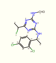 CC(F)c1nc(NC=O)nc(NC(C)c2ccc(Cl)cc2Cl)n1